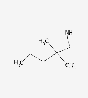 CCCC(C)(C)C[NH]